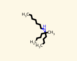 CCCCCCCNC(C)(CCCC)CCCC